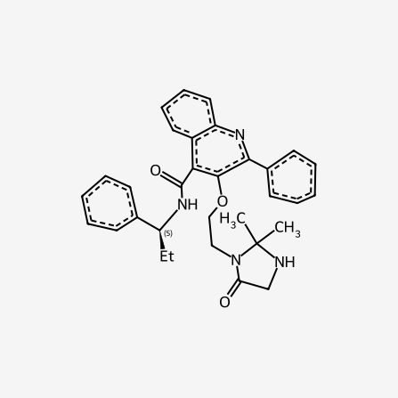 CC[C@H](NC(=O)c1c(OCCN2C(=O)CNC2(C)C)c(-c2ccccc2)nc2ccccc12)c1ccccc1